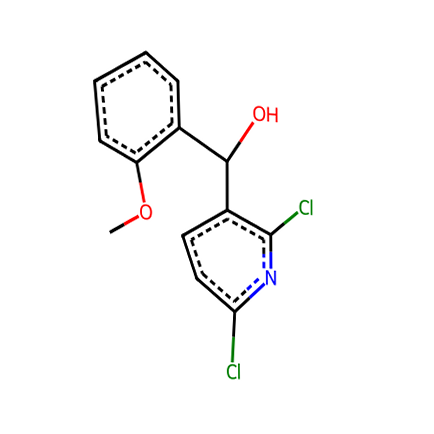 COc1ccccc1C(O)c1ccc(Cl)nc1Cl